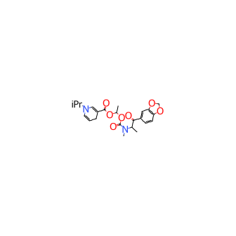 CC(OC(=O)C1=CN(C(C)C)C=CC1)OC(=O)N(C)C(C)C(=O)c1ccc2c(c1)OCO2